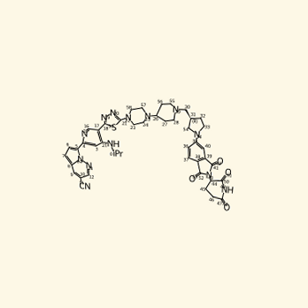 CC(C)Nc1cc(-c2ccc3cc(C#N)cnn23)ncc1-c1nnc(N2CCN(C3CCN(C[C@H]4CCN(c5ccc6c(c5)C(=O)N(C5CCC(=O)NC5=O)C6=O)C4)CC3)CC2)s1